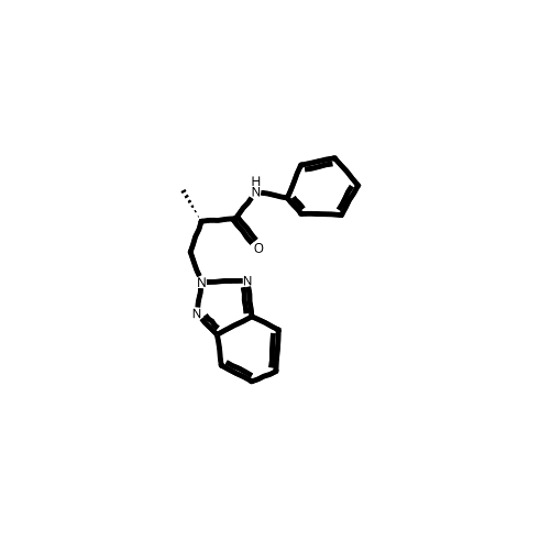 C[C@@H](Cn1nc2ccccc2n1)C(=O)Nc1ccccc1